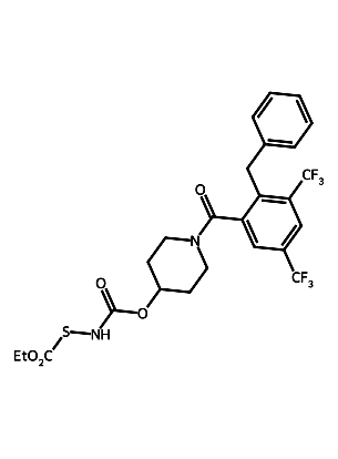 CCOC(=O)SNC(=O)OC1CCN(C(=O)c2cc(C(F)(F)F)cc(C(F)(F)F)c2Cc2ccccc2)CC1